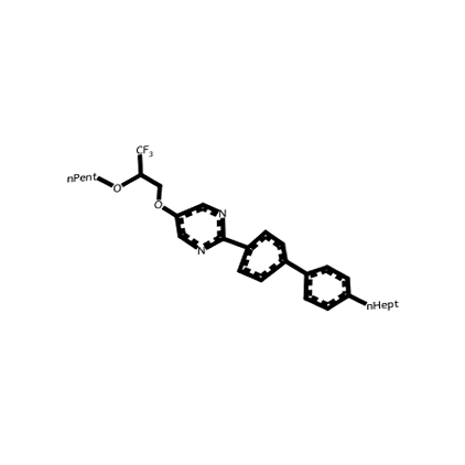 CCCCCCCc1ccc(-c2ccc(-c3ncc(OCC(OCCCCC)C(F)(F)F)cn3)cc2)cc1